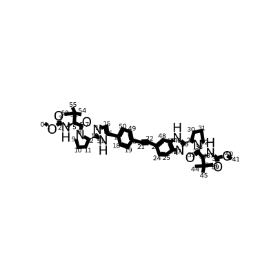 COC(=O)N[C@H](C(=O)N1CCC[C@H]1c1ncc(-c2ccc(C#Cc3ccc4nc([C@@H]5CCCN5C(=O)[C@@H](NC(=O)OC)C(C)(C)C)[nH]c4c3)cc2)[nH]1)C(C)(C)C